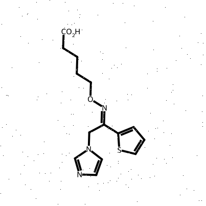 O=C(O)CCCCO/N=C(\Cn1ccnc1)c1cccs1